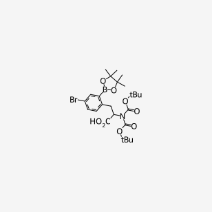 CC(C)(C)OC(=O)N(C(=O)OC(C)(C)C)C(Cc1ccc(Br)cc1B1OC(C)(C)C(C)(C)O1)C(=O)O